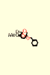 CCC12OC[C@@](OCC3CCCCC3)(CC[C@H]1OC)O2